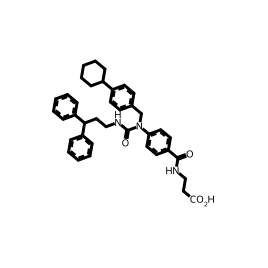 O=C(O)CCNC(=O)c1ccc(N(Cc2ccc(C3CCCCC3)cc2)C(=O)NCCC(c2ccccc2)c2ccccc2)cc1